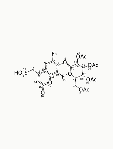 CC(=O)OCC1O[C@@H](Oc2c(F)cc3c(CS(=O)(=O)O)cc(=O)oc3c2F)[C@@H](OC(C)=O)C(OC(C)=O)[C@@H]1OC(C)=O